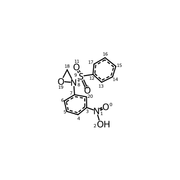 O=[N+](O)c1cccc([N+]2(S(=O)(=O)c3ccccc3)CO2)c1